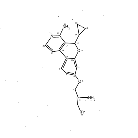 CC(C)C[C@H](N)COc1ccc2c(c1)OC(C1CC1)c1c-2ccnc1N